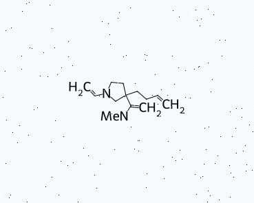 C=CCCC1(C(=C)NC)CCN(C=C)C1